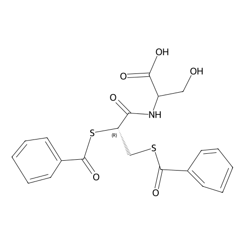 O=C(SC[C@H](SC(=O)c1ccccc1)C(=O)NC(CO)C(=O)O)c1ccccc1